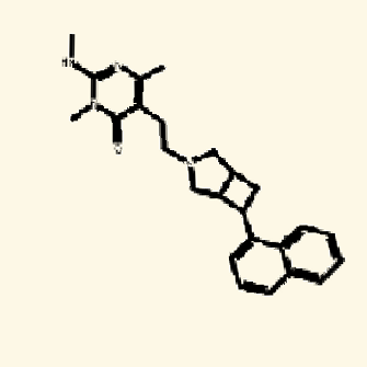 CNc1nc(C)c(CCN2CC3CC(c4cccc5ccccc45)C3C2)c(=O)n1C